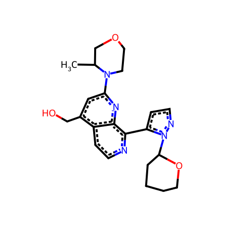 CC1COCCN1c1cc(CO)c2ccnc(-c3ccnn3C3CCCCO3)c2n1